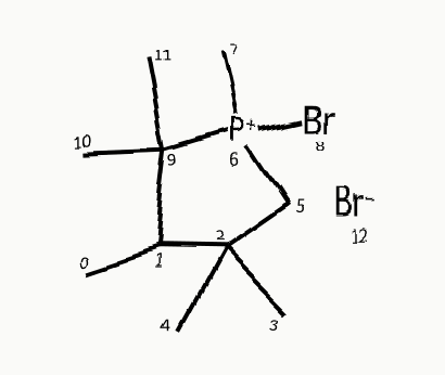 CC1C(C)(C)C[P+](C)(Br)C1(C)C.[Br-]